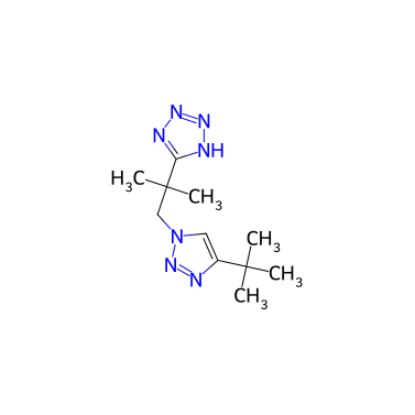 CC(C)(C)c1cn(CC(C)(C)c2nnn[nH]2)nn1